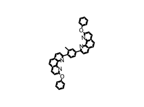 Cc1cc(-c2ccc3ccc4ccc(Oc5ccccc5)nc4c3n2)ccc1-c1ccc2ccc3ccc(Oc4ccccc4)nc3c2n1